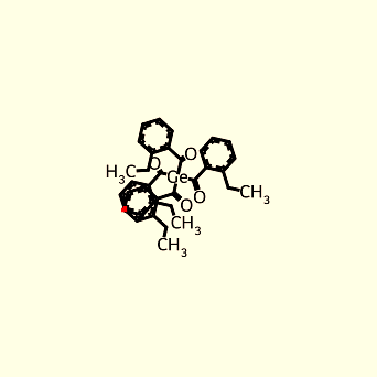 CCc1ccccc1[C](=O)[Ge]([C](=O)c1ccccc1CC)([C](=O)c1ccccc1CC)[C](=O)c1ccccc1CC